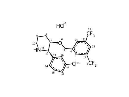 Cl.FC(F)(F)c1cc(CO[C@@H]2CCCN[C@@H]2c2cccc(Cl)c2)cc(C(F)(F)F)c1